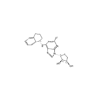 O[C@@H]1[C@H](O)CS[C@H]1n1cnc2c(N[C@H]3CCCc4ccccc43)nc(Cl)nc21